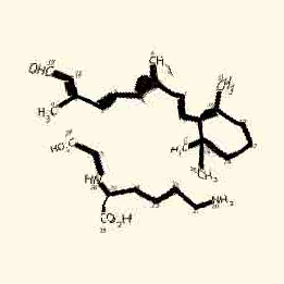 CC(C=CC=C(C)C=CC1=C(C)CCCC1(C)C)=CC=O.NCCCC[C@H](NCC(=O)O)C(=O)O